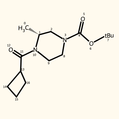 C[C@@H]1CN(C(=O)OC(C)(C)C)CCN1C(=O)C1CCC1